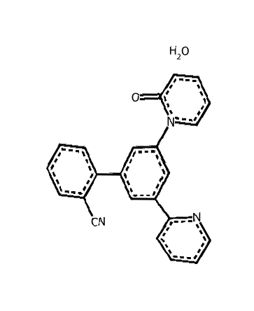 N#Cc1ccccc1-c1cc(-c2ccccn2)cc(-n2ccccc2=O)c1.O